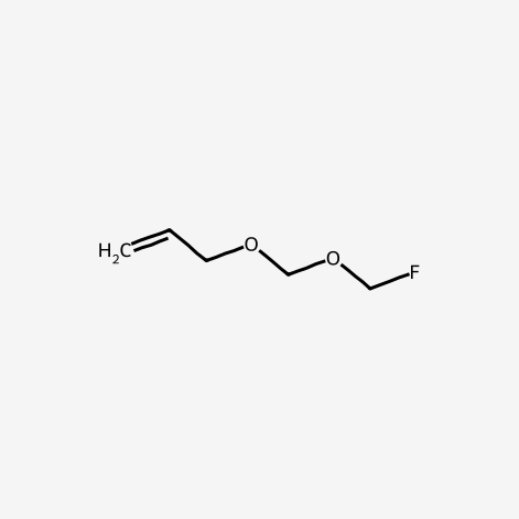 C=CCOCOCF